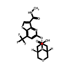 CNC(=O)c1csc2c(C(F)(F)F)cc(O[C@H]3C[C@H]4COC[C@@H](C3)N4C(=O)O)nc12